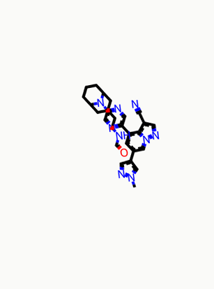 Cn1cc(-c2cc(-c3cnc(N4C5CCCC4CC(CCNC=O)C5)cn3)c3c(C#N)cnn3c2)cn1